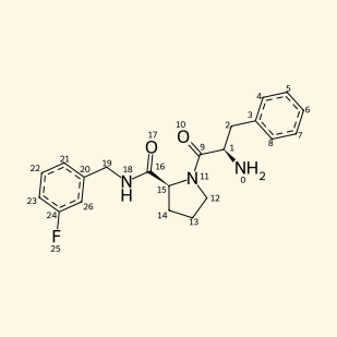 N[C@H](Cc1ccccc1)C(=O)N1CCC[C@H]1C(=O)NCc1cccc(F)c1